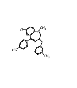 Cc1cccc(CC2CN(C)c3ccc(Cl)cc3C(c3ccc(O)cc3)=N2)c1